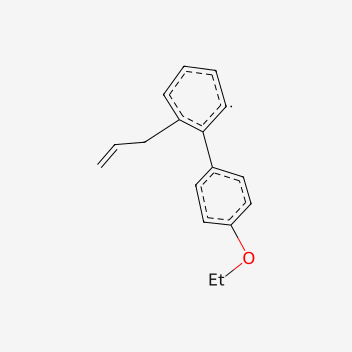 C=CCc1ccc[c]c1-c1ccc(OCC)cc1